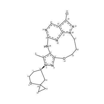 Cc1c2c(nn1[C@@H]1CCOC3(CC3)C1)OCCCn1nc(Cl)c3cnc(nc31)N2